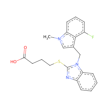 Cn1cc(Cn2c(SCCCC(=O)O)nc3ccccc32)c2c(F)cccc21